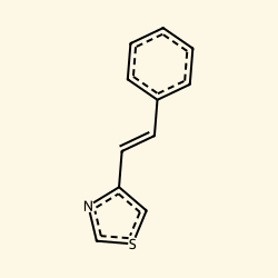 C(=C\c1cscn1)/c1ccccc1